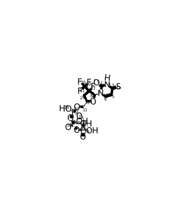 O=c1[nH]c(=S)ccn1[C@@H]1O[C@H](COP(=O)(O)OP(=O)(O)OP(=O)(O)O)CC1(F)C(F)(F)F